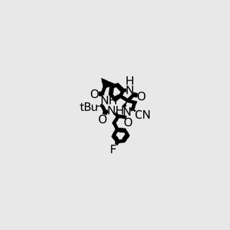 CC(C)(C)[C@H](NC(=O)C1CC1)C(=O)NC(Cc1cccc(F)c1)C(=O)N1C[C@]2(C[C@H]1C#N)C(=O)Nc1ccccc12